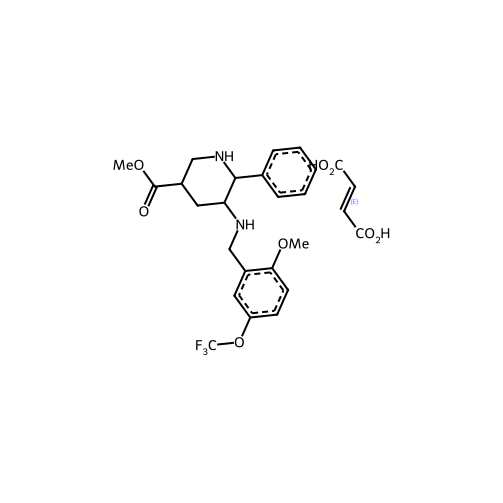 COC(=O)C1CNC(c2ccccc2)C(NCc2cc(OC(F)(F)F)ccc2OC)C1.O=C(O)/C=C/C(=O)O